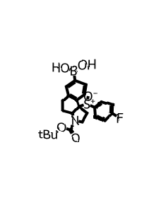 CC(C)(C)OC(=O)N1CCC2([S+]([O-])c3ccc(F)cc3)c3ccc(B(O)O)cc3CCC12